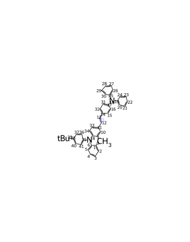 Cc1ccccc1N(c1ccc(/C=C/c2ccc(N(c3ccccc3)c3ccccc3)cc2)cc1)c1ccc(C(C)(C)C)cc1